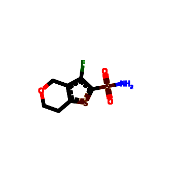 NS(=O)(=O)c1sc2c(c1F)COCC2